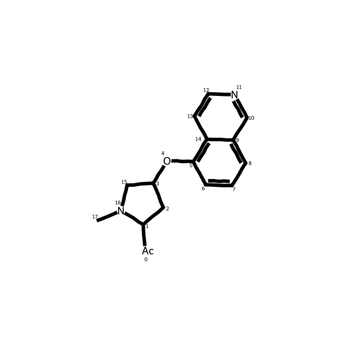 CC(=O)C1CC(Oc2cccc3cnccc23)CN1C